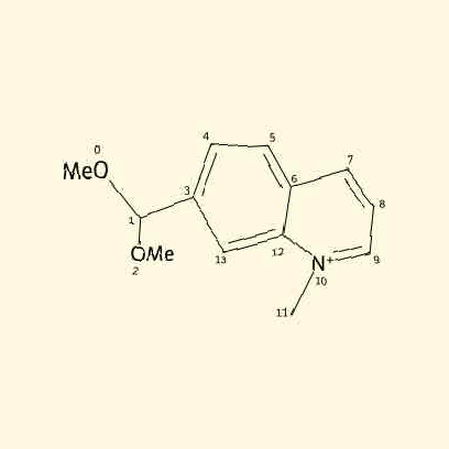 COC(OC)c1ccc2ccc[n+](C)c2c1